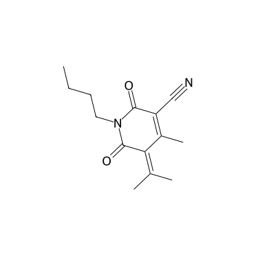 CCCCN1C(=O)C(C#N)=C(C)C(=C(C)C)C1=O